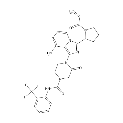 C=CC(=O)N1CCCC1c1nc(N2CCN(C(=O)Nc3ccccc3C(F)(F)F)CC2=O)c2c(N)nccn12